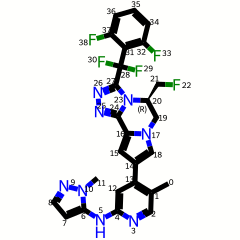 Cc1cnc(Nc2ccnn2C)cc1-c1cc2n(c1)C[C@H](CF)n1c-2nnc1C(F)(F)c1c(F)cccc1F